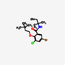 CC(C)(C)CC(C)(C)NC(=O)c1cc(Br)cc(Cl)c1OCC[Si](C)(C)C